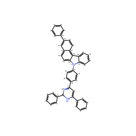 C1=C(c2ccccc2)NC(c2ccccc2)N=C1c1ccc(-n2c3ccccc3c3c4ccc(-c5ccccc5)cc4ccc32)cc1